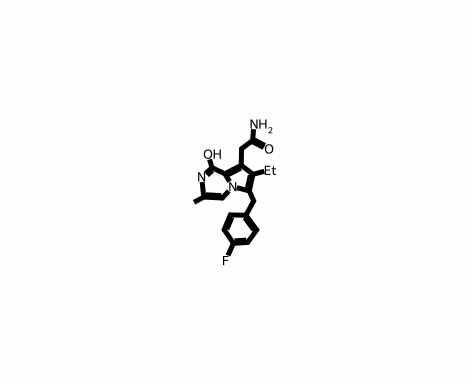 CCc1c(CC(N)=O)c2c(O)nc(C)cn2c1Cc1ccc(F)cc1